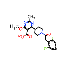 COc1nc(C)nc(C2CCN(C(=O)Cc3c(F)cccc3F)CC2)c1C(=O)O